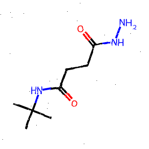 CC(C)(C)NC(=O)CCC(=O)NN